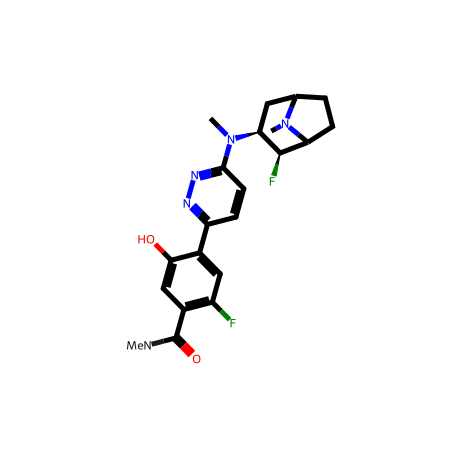 CNC(=O)c1cc(O)c(-c2ccc(N(C)[C@H]3CC4CCC([C@H]3F)N4C)nn2)cc1F